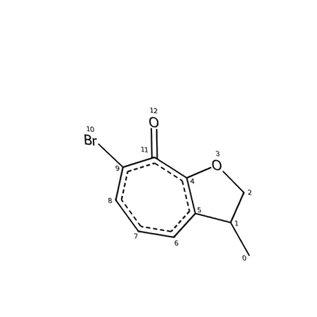 CC1COc2c1cccc(Br)c2=O